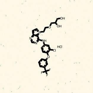 Cl.OCC(O)COCCn1ccc2ncnc(Nc3ccc(Oc4cccc(C(F)(F)F)c4)c(Cl)c3)c21